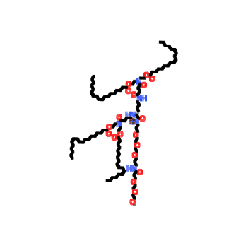 CCCCC/C=C\C/C=C\CCCCCCCC(=O)OCCN(CCOC(=O)CCCCCCC/C=C\C/C=C\CCCCC)C(=O)CCC(=O)NCCCC[C@@H](NC(=O)CCC(=O)N(CCOC(=O)CCCCCCC/C=C\C/C=C\CCCCC)CCOC(=O)CCCCCCC/C=C\C/C=C\CCCCC)C(=O)NCCCOCCOCCOCCCNC(=O)CCOCCOCCOC